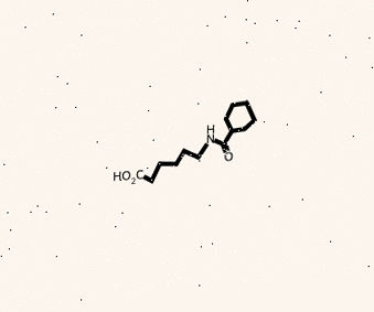 O=C(O)CCCCCNC(=O)C1CC[CH]CC1